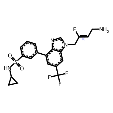 NC/C=C(\F)Cn1cnc2c(-c3cccc(S(=O)(=O)NC4CC4)c3)cc(C(F)(F)F)cc21